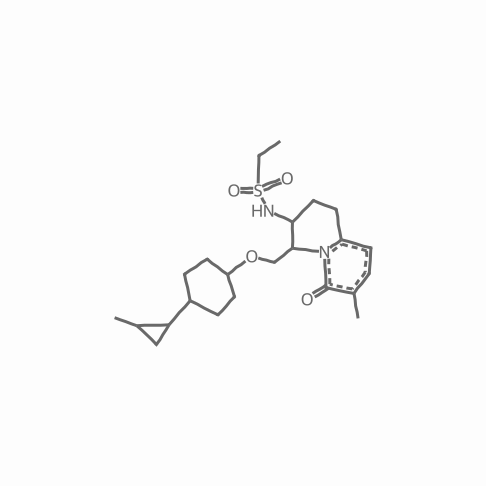 CCS(=O)(=O)NC1CCc2ccc(C)c(=O)n2C1COC1CCC(C2CC2C)CC1